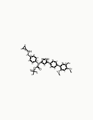 COc1cc(OC)c(-c2ccc(-c3cc(N(C(=O)OC(C)(C)C)c4ccc(CNC5CC5)cc4)n[nH]3)cc2)cc1C